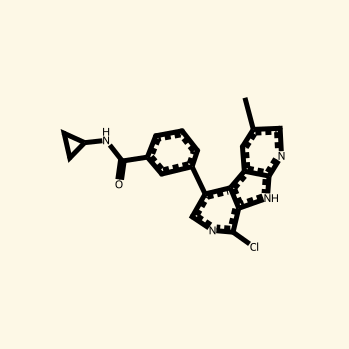 Cc1cnc2[nH]c3c(Cl)ncc(-c4cccc(C(=O)NC5CC5)c4)c3c2c1